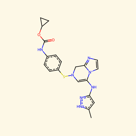 Cc1cc(NC2=CN(Sc3ccc(NC(=O)OC4CC4)cc3)CC3=NC=C[N+]23)n[nH]1